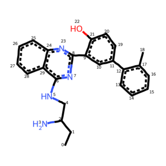 CCC(N)CNc1nc(-c2cc(-c3ccccc3C)ccc2O)nc2ccccc12